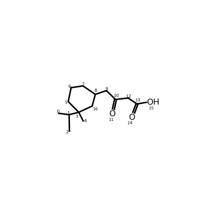 CC(C)C1(C)CCCC(CC(=O)CC(=O)O)C1